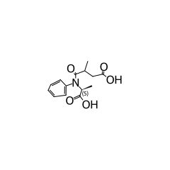 CC(CC(=O)O)C(=O)N(c1ccccc1)[C@@H](C)C(=O)O